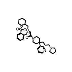 O=C(COCC1CCCCN1S(=O)(=O)c1ccccc1C(F)(F)F)N1CCC(CCCN2CCCC2)(c2cccnc2)CC1